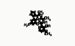 COc1ccnc(C(=O)N[C@@H](C)C(=O)O[C@@H](C)[C@H](Oc2ccc(C)cc2Cl)C2CCCC2)c1O